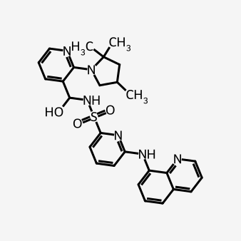 CC1CN(c2ncccc2C(O)NS(=O)(=O)c2cccc(Nc3cccc4cccnc34)n2)C(C)(C)C1